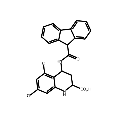 O=C(O)C1CC(NC(=O)C2c3ccccc3-c3ccccc32)c2c(Cl)cc(Cl)cc2N1